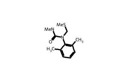 CNC(=O)N(CSC)c1c(C)cccc1C